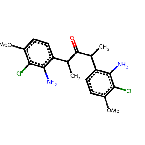 COc1ccc(C(C)C(=O)C(C)c2ccc(OC)c(Cl)c2N)c(N)c1Cl